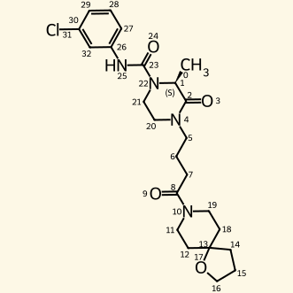 C[C@H]1C(=O)N(CCCC(=O)N2CCC3(CCCO3)CC2)CCN1C(=O)Nc1cccc(Cl)c1